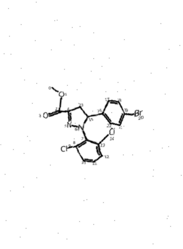 COC(=O)C1=NN(c2c(Cl)cccc2Cl)C(c2ccc(Br)cc2)C1